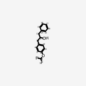 OC([CH]c1ccc(OC(F)F)cc1)Cc1ccccc1